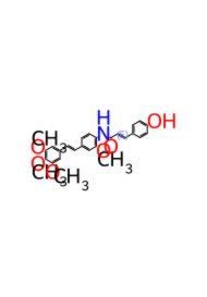 COc1cc(C=Cc2cc(OC)c(OC)c(OC)c2)ccc1NC(=O)/C=C/c1ccc(O)cc1